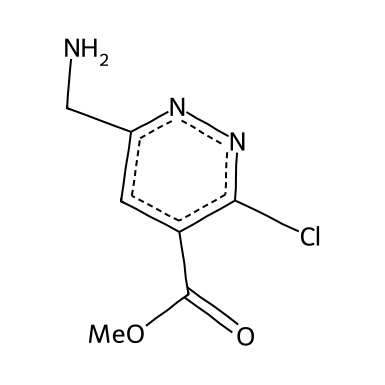 COC(=O)c1cc(CN)nnc1Cl